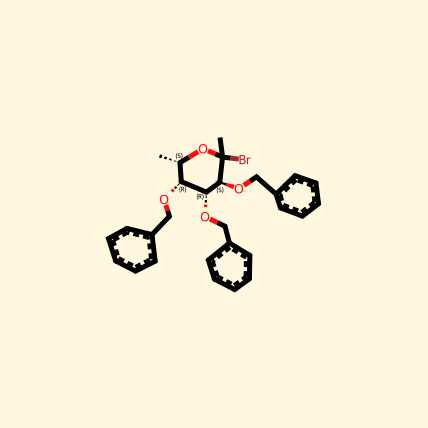 C[C@@H]1OC(C)(Br)[C@@H](OCc2ccccc2)[C@H](OCc2ccccc2)[C@@H]1OCc1ccccc1